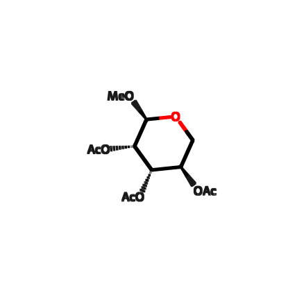 CO[C@H]1OC[C@@H](OC(C)=O)[C@H](OC(C)=O)[C@@H]1OC(C)=O